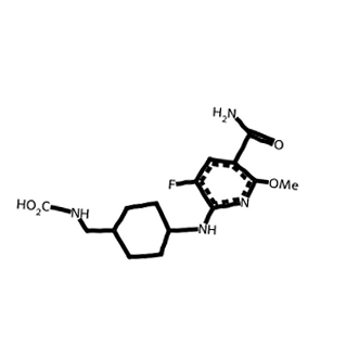 COc1nc(NC2CCC(CNC(=O)O)CC2)c(F)cc1C(N)=O